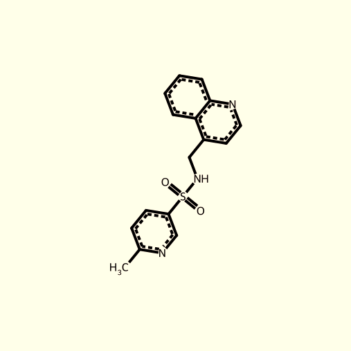 Cc1ccc(S(=O)(=O)NCc2ccnc3ccccc23)cn1